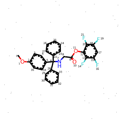 COc1ccc(C(NCC(=O)Oc2c(F)c(F)cc(F)c2F)(c2ccccc2)c2ccccc2)cc1